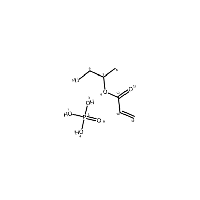 O=P(O)(O)O.[Li][CH2]C(C)OC(=O)C=C